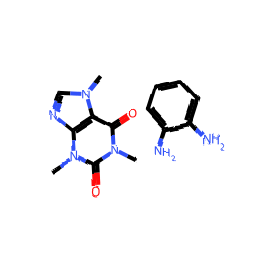 Cn1c(=O)c2c(ncn2C)n(C)c1=O.Nc1ccccc1N